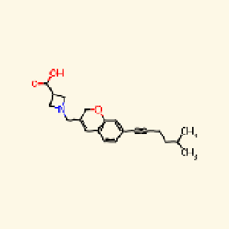 CC(C)CCC#Cc1ccc2c(c1)OCC(CN1CC(C(=O)O)C1)=C2